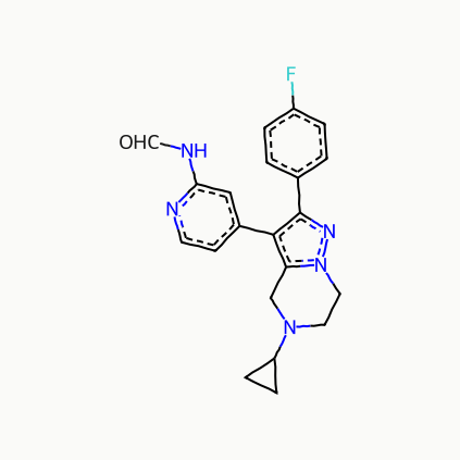 O=CNc1cc(-c2c(-c3ccc(F)cc3)nn3c2CN(C2CC2)CC3)ccn1